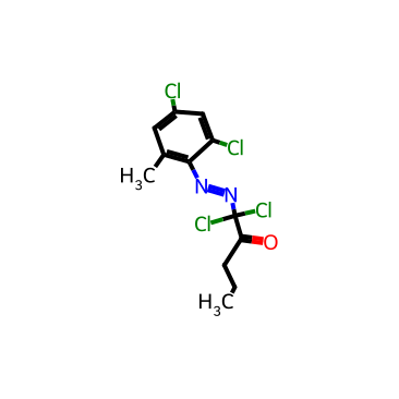 CCCC(=O)C(Cl)(Cl)/N=N/c1c(C)cc(Cl)cc1Cl